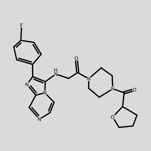 O=C(CNc1c(-c2ccc(F)cc2)nc2cnccn12)N1CCN(C(=O)C2CCCO2)CC1